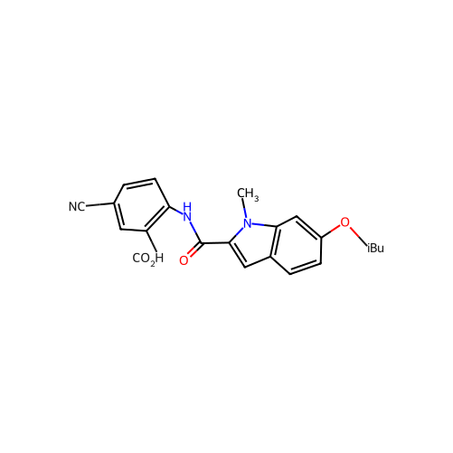 CCC(C)Oc1ccc2cc(C(=O)Nc3ccc(C#N)cc3C(=O)O)n(C)c2c1